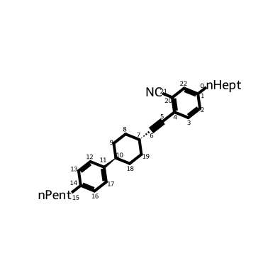 CCCCCCCc1ccc(C#C[C@H]2CC[C@H](c3ccc(CCCCC)cc3)CC2)c(C#N)c1